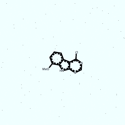 COc1cccc2c1[nH]c1ncnc(Cl)c12